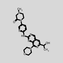 CC(O)c1cc2cnc(Nc3ccc(N4CCN(C)CC4=O)cn3)nc2c(N2CCOCC2)n1